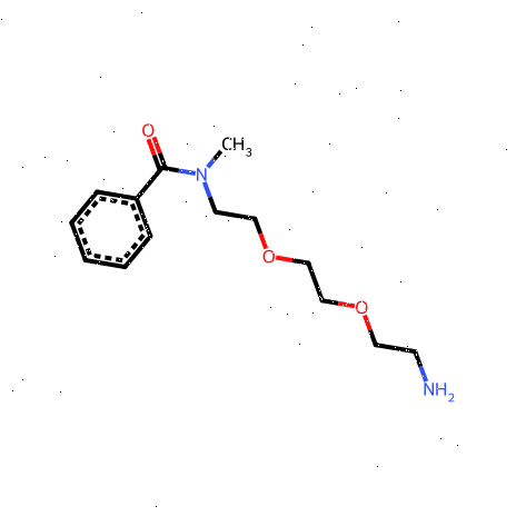 CN(CCOCCOCCN)C(=O)c1ccccc1